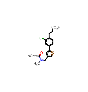 CCCCCCCCC(=O)N(C)Cc1csc(-c2ccc(CCC(=O)O)c(Cl)c2)c1